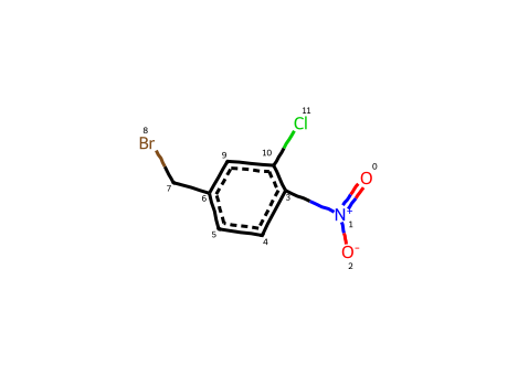 O=[N+]([O-])c1ccc(CBr)cc1Cl